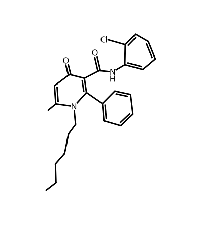 CCCCCCn1c(C)cc(=O)c(C(=O)Nc2ccccc2Cl)c1-c1ccccc1